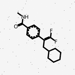 CNC(=O)c1ccc(C(CC2CCCCC2)=C(F)F)cc1